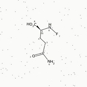 NC(=O)CC[C@H](NF)C(=O)O